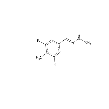 CN/N=C/c1cc(F)c(C)c(F)c1